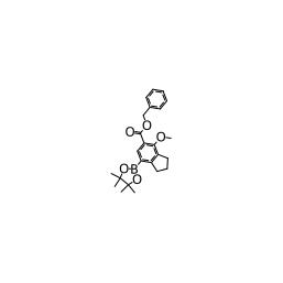 COc1c(C(=O)OCc2ccccc2)cc(B2OC(C)(C)C(C)(C)O2)c2c1CCC2